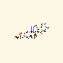 CC(C)C(=O)Cc1ccc(NC(=O)c2cc3ccccc3n2C)c(Cl)n1